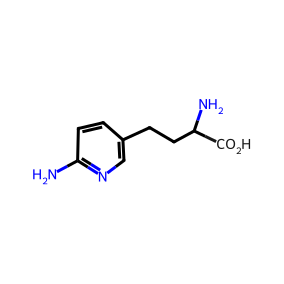 Nc1ccc(CCC(N)C(=O)O)cn1